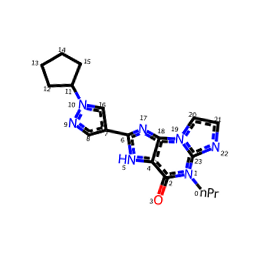 CCCn1c(=O)c2[nH]c(-c3cnn(C4CCCC4)c3)nc2n2ccnc12